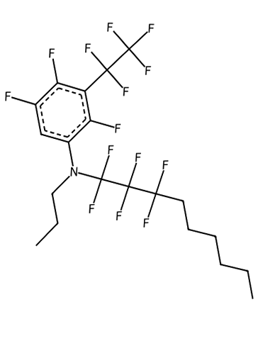 CCCCCCC(F)(F)C(F)(F)C(F)(F)N(CCC)c1cc(F)c(F)c(C(F)(F)C(F)(F)F)c1F